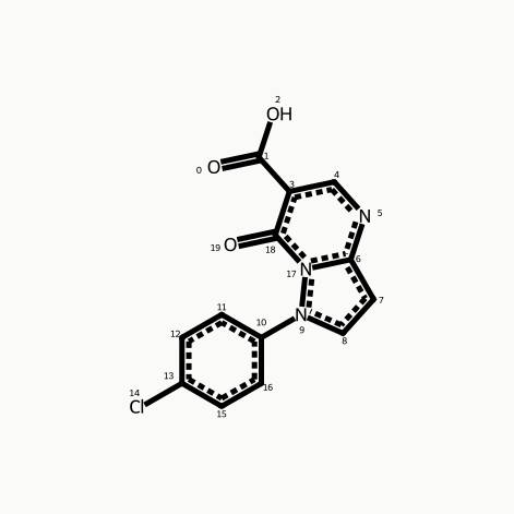 O=C(O)c1cnc2ccn(-c3ccc(Cl)cc3)n2c1=O